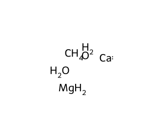 C.O.O.[Ca].[MgH2]